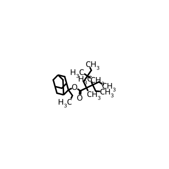 CCC(C)(C)CC(C)(C(=O)OC1(CC)C2CC3CC(C2)CC1C3)C(C)(CC)CC